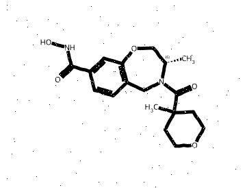 C[C@H]1COc2cc(C(=O)NO)ccc2CN1C(=O)C1(C)CCOCC1